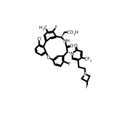 Cc1cc2cc(c1F)[C@@H](CC(=O)O)NC(=O)[C@H](n1cc(CCN3CC(F)C3)c(C(F)(F)F)cc1=O)c1cc(ccc1F)Oc1cccc(Cl)c1-2